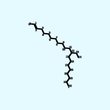 [CH2]C=CCCCCCCCCCC(CC)CCCCCCC[CH2]